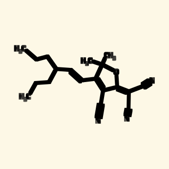 CCCC(/C=C/C1=C(C#N)C(=C(C#N)C#N)OC1(C)C)CCC